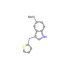 COc1ccc2[nH]cc(Cc3cccs3)c2c1